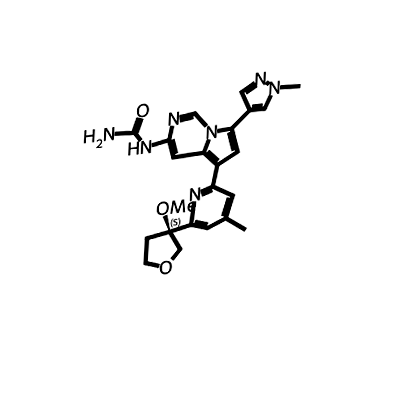 CO[C@]1(c2cc(C)cc(-c3cc(-c4cnn(C)c4)n4cnc(NC(N)=O)cc34)n2)CCOC1